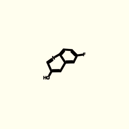 Oc1cnc2ccc(F)cc2c1